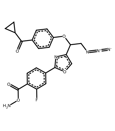 [N-]=[N+]=NCC(Oc1ccc(C(=O)C2CC2)cc1)c1coc(-c2ccc(C(=O)ON)c(F)c2)n1